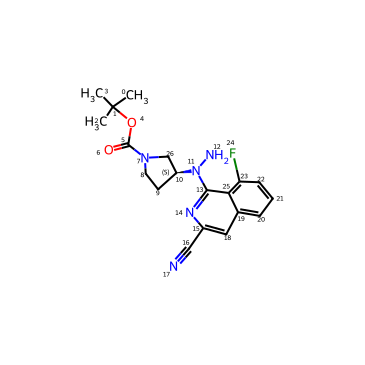 CC(C)(C)OC(=O)N1CC[C@H](N(N)c2nc(C#N)cc3cccc(F)c23)C1